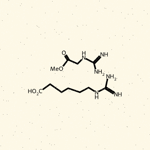 COC(=O)CNC(=N)N.N=C(N)NCCCCCC(=O)O